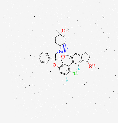 C[C@]1(O)CC[C@H](NC[C@@]2(c3ccccc3)Cc3c(cc(F)c(Cl)c3-c3c(C(N)=O)cc4c(c3F)C(O)CC4)O2)CC1